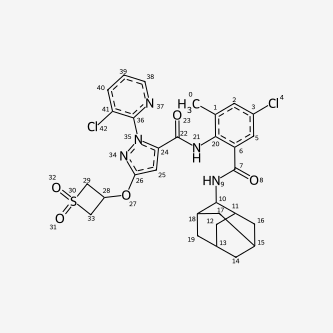 Cc1cc(Cl)cc(C(=O)NC2C3CC4CC(C3)CC2C4)c1NC(=O)c1cc(OC2CS(=O)(=O)C2)nn1-c1ncccc1Cl